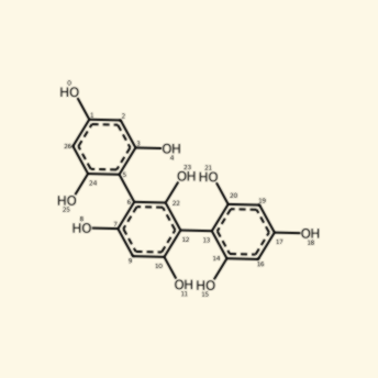 Oc1cc(O)c(-c2c(O)cc(O)c(-c3c(O)cc(O)cc3O)c2O)c(O)c1